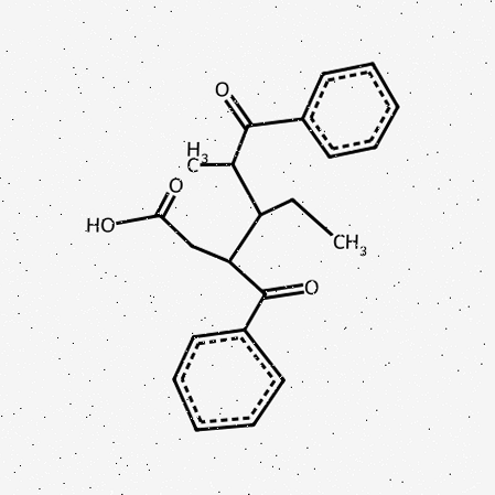 CCC(C(C)C(=O)c1ccccc1)C(CC(=O)O)C(=O)c1ccccc1